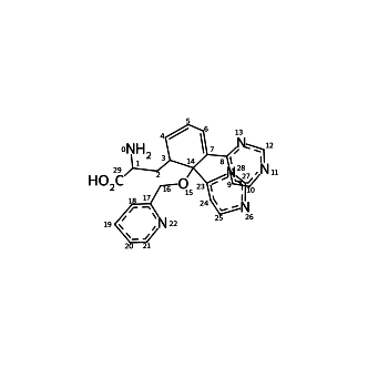 NC(CC1C=CC=C(c2ccncn2)C1(OCc1ccccn1)c1ccncn1)C(=O)O